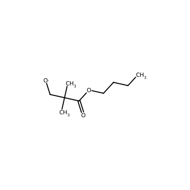 CCCCOC(=O)C(C)(C)C[O]